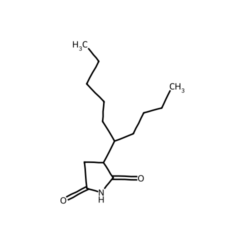 CCCCCC(CCCC)C1CC(=O)NC1=O